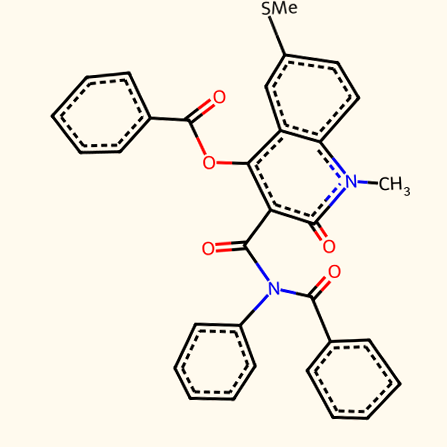 CSc1ccc2c(c1)c(OC(=O)c1ccccc1)c(C(=O)N(C(=O)c1ccccc1)c1ccccc1)c(=O)n2C